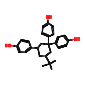 CC(C)(C)C1CC(c2ccc(O)cc2)CC(c2ccc(O)cc2)(c2ccc(O)cc2)C1